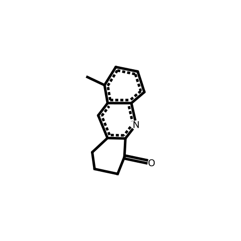 Cc1cccc2nc3c(cc12)CCCC3=O